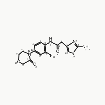 Nc1nc(CC(=O)Nc2ccc(N3CCOCC3=O)cc2F)cs1